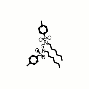 CCCCCCN(SN(CCCCCC)S(=O)(=O)c1ccc(C)cc1)S(=O)(=O)c1ccc(C)cc1